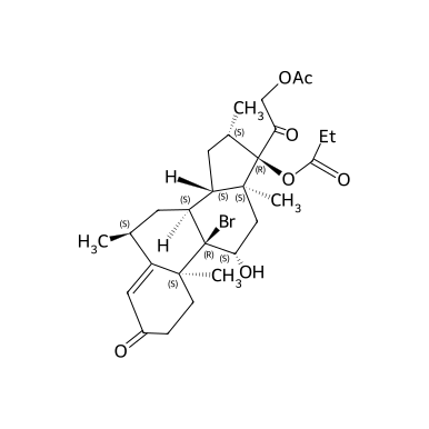 CCC(=O)O[C@]1(C(=O)COC(C)=O)[C@@H](C)C[C@H]2[C@@H]3C[C@H](C)C4=CC(=O)CC[C@]4(C)[C@@]3(Br)[C@@H](O)C[C@@]21C